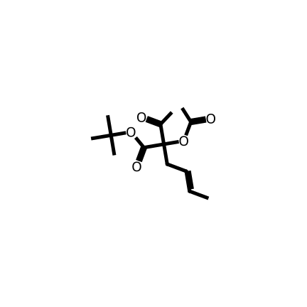 CC=CCC(OC(C)=O)(C(C)=O)C(=O)OC(C)(C)C